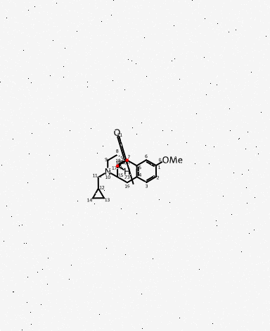 COc1ccc2c(c1)[C@@]13CCN(CC4CC4)C(C2)[C@@H]1C=CC(=O)C3